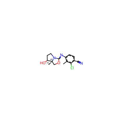 Cc1c(N=C2OC[C@]3(C)[C@@H](O)CCN23)ccc(C#N)c1Cl